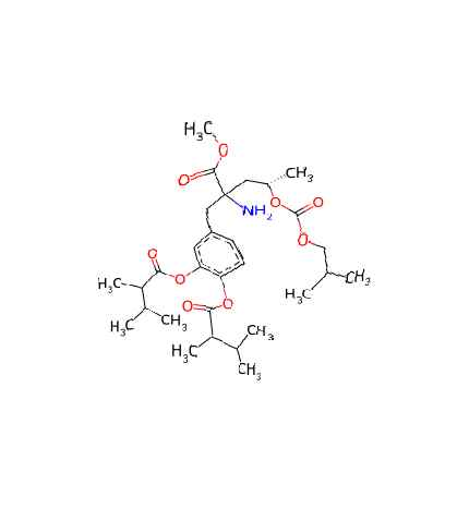 COC(=O)C(N)(Cc1ccc(OC(=O)C(C)C(C)C)c(OC(=O)C(C)C(C)C)c1)C[C@H](C)OC(=O)OCC(C)C